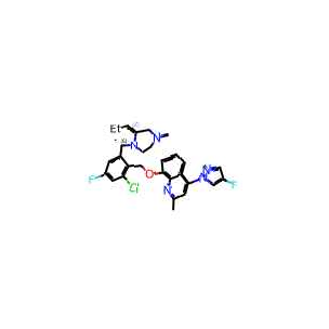 CC/C=C1/CN(C)CCN1[C@@H](C)c1cc(F)cc(Cl)c1COc1cccc2c(-n3cc(F)cn3)cc(C)nc12